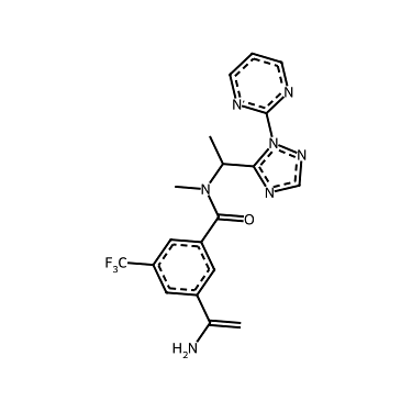 C=C(N)c1cc(C(=O)N(C)C(C)c2ncnn2-c2ncccn2)cc(C(F)(F)F)c1